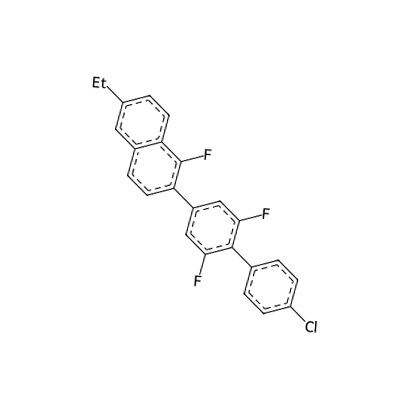 CCc1ccc2c(F)c(-c3cc(F)c(-c4ccc(Cl)cc4)c(F)c3)ccc2c1